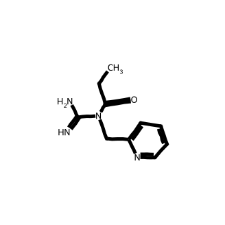 CCC(=O)N(Cc1ccccn1)C(=N)N